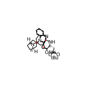 COC(=O)[C@@H](CC(=O)OC(C)(C)C)Nc1nc2ccccc2n([C@H]2C[C@H]3CC[C@@H](C2)N3C2CCCCCCC2)c1=O